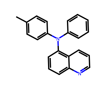 Cc1ccc(N(c2ccccc2)c2cccc3ncccc23)cc1